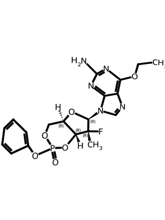 CCOc1nc(N)nc2c1ncn2[C@@H]1O[C@@H]2COP(=O)(Oc3ccccc3)O[C@H]2[C@@]1(C)F